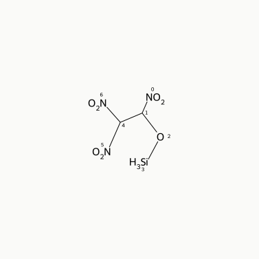 O=[N+]([O-])C(O[SiH3])C([N+](=O)[O-])[N+](=O)[O-]